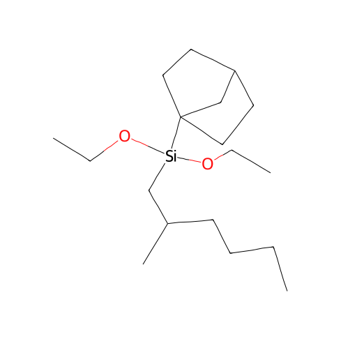 CCCCC(C)C[Si](OCC)(OCC)C12CCC(CC1)C2